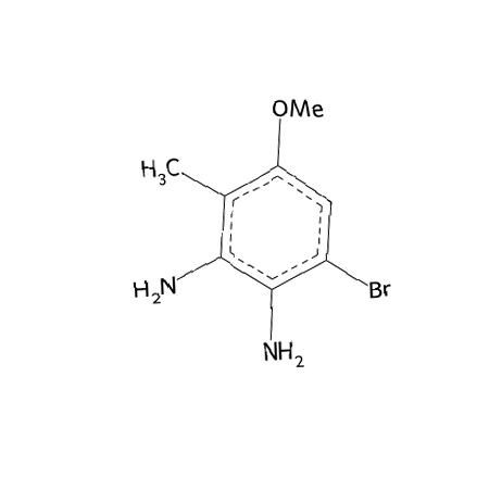 COc1cc(Br)c(N)c(N)c1C